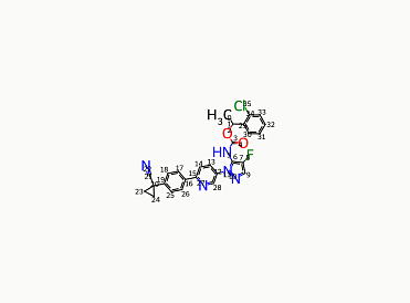 CC(OC(=O)Nc1c(F)cnn1-c1ccc(-c2ccc(C3(C#N)CC3)cc2)nc1)c1ccccc1Cl